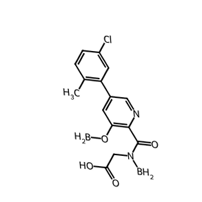 BOc1cc(-c2cc(Cl)ccc2C)cnc1C(=O)N(B)CC(=O)O